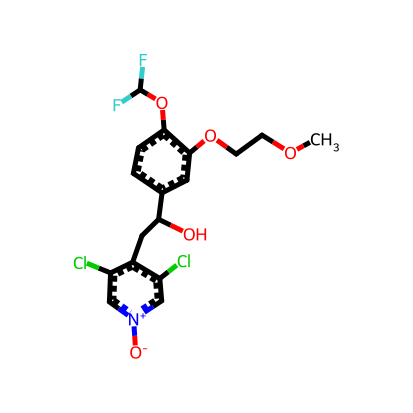 COCCOc1cc(C(O)Cc2c(Cl)c[n+]([O-])cc2Cl)ccc1OC(F)F